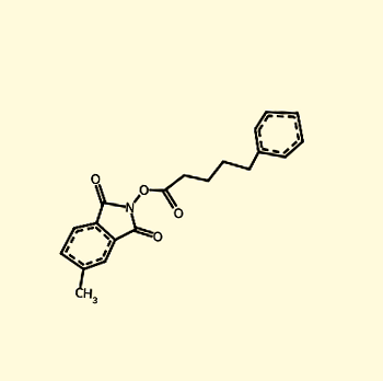 Cc1ccc2c(c1)C(=O)N(OC(=O)CCCCc1ccccc1)C2=O